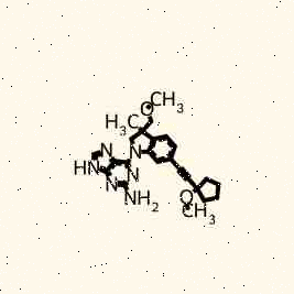 COCC1(C)CN(c2nc(N)nc3[nH]cnc23)c2cc(C#CC3(OC)CCCC3)ccc21